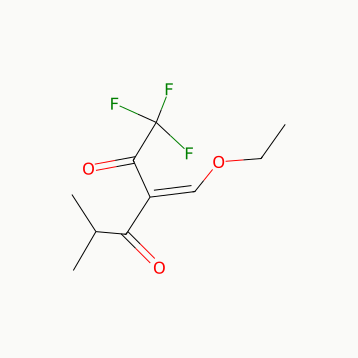 CCOC=C(C(=O)C(C)C)C(=O)C(F)(F)F